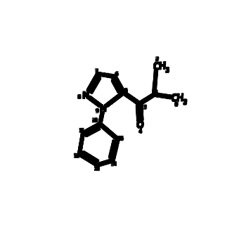 CC(C)C(=O)c1ccnn1-c1ccccc1